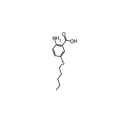 CCCCCSc1ccc(N)c(C(=O)O)c1